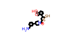 NCc1cccc(C2CCN(C(=O)C3CC(c4cccc5c4COB5O)C(S)S3)CC2)c1